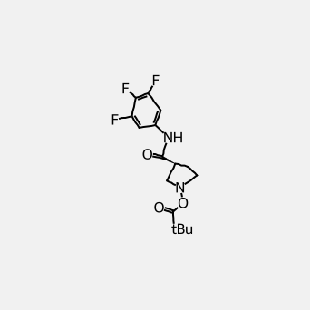 CC(C)(C)C(=O)ON1CC[C@H](C(=O)Nc2cc(F)c(F)c(F)c2)C1